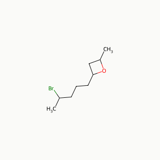 CC(Br)CCCC1CC(C)O1